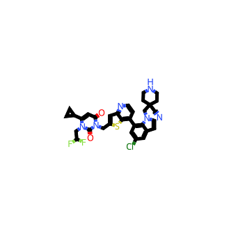 N#CC1(Cn2ccc3cc(Cl)cc(-c4ccnc5cc(Cn6c(=O)cc(C7CC7)n(CC(F)F)c6=O)sc45)c32)CCNCC1